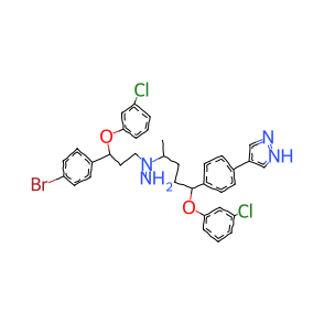 CC(CCC(Oc1cccc(Cl)c1)c1ccc(-c2cn[nH]c2)cc1)N(N)CCC(Oc1cccc(Cl)c1)c1ccc(Br)cc1